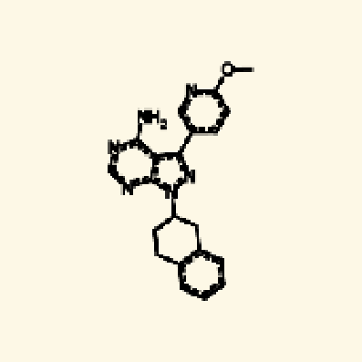 COc1ccc(-c2nn(C3CCc4ccccc4C3)c3ncnc(N)c23)cn1